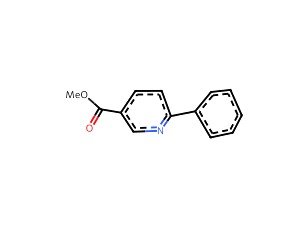 COC(=O)c1ccc(-c2ccccc2)nc1